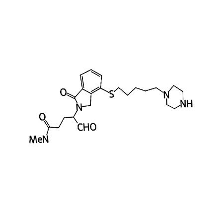 CNC(=O)CCC(C=O)N1Cc2c(SCCCCCN3CCNCC3)cccc2C1=O